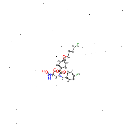 O=C(CN(Cc1ccc(F)cc1)S(=O)(=O)c1ccc(OCCCCF)cc1)NO